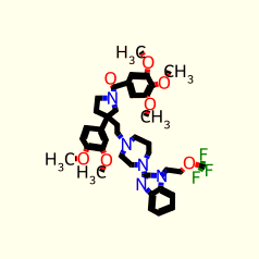 COc1ccc(C2(CCN3CCCN(c4nc5ccccc5n4CCOC(F)(F)F)CC3)CCN(C(=O)c3cc(OC)c(OC)c(OC)c3)C2)cc1OC